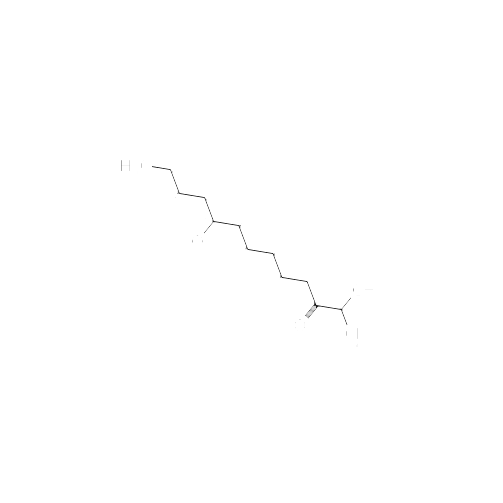 CCCCC(O)CCCCCC(=O)C(C)C